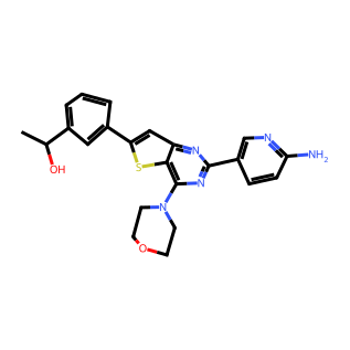 CC(O)c1cccc(-c2cc3nc(-c4ccc(N)nc4)nc(N4CCOCC4)c3s2)c1